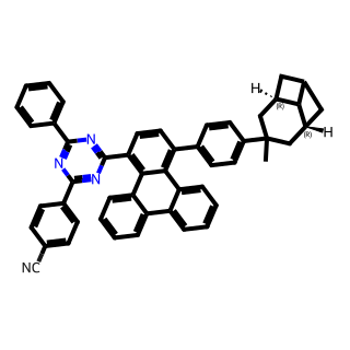 CC1(c2ccc(-c3ccc(-c4nc(-c5ccccc5)nc(-c5ccc(C#N)cc5)n4)c4c5ccccc5c5ccccc5c34)cc2)C[C@H]2CC3C[C@H](C1)C32